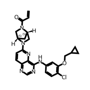 C=CC(=O)N1C[C@@H]2C[C@H]1CN2c1ccc2ncnc(Nc3ccc(Cl)c(OCC4CC4)c3)c2n1